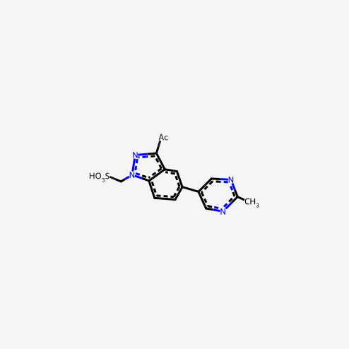 CC(=O)c1nn(CS(=O)(=O)O)c2ccc(-c3cnc(C)nc3)cc12